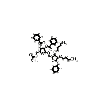 CCCCOC1[C@H](CO[C@@H]2O[C@@H](COC(C)=O)C(OC(=O)c3ccccc3)[C@@H]2OC(=O)c2ccccc2)O[C@@H](Sc2ccccc2)[C@H]1OCCCC